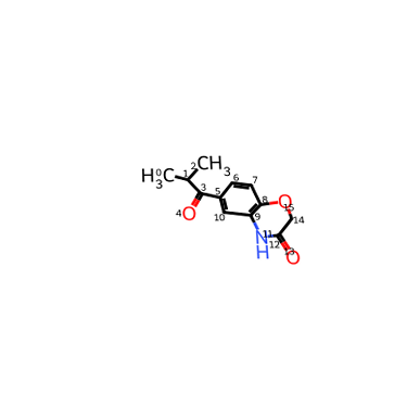 CC(C)C(=O)c1ccc2c(c1)NC(=O)CO2